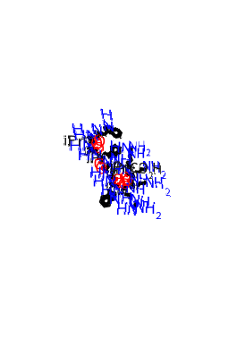 CC(C)C[C@H](NC(=O)[C@H](CC(C)C)NC(=O)[C@@H](N)Cc1c[nH]c2ccccc12)C(=O)N[C@@H](Cc1c[nH]c2ccccc12)C(=O)N[C@H](C(=O)N[C@@H](CC(C)C)C(=O)N[C@@H](Cc1c[nH]c2ccccc12)C(=O)N[C@@H](CCCNC(=N)N)C(=O)N[C@@H](CCCCN)C(=O)N[C@@H](CCCCN)C(=O)N[C@@H](CCCNC(=N)N)C(=O)O)C(C)C